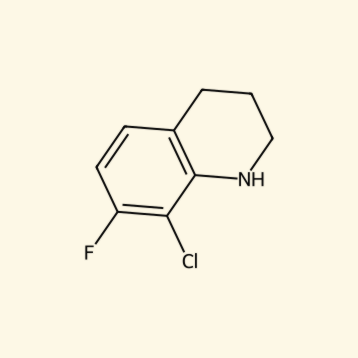 Fc1ccc2c(c1Cl)NCCC2